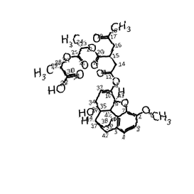 COc1ccc2c3c1O[C@@H]1C(OC(=O)C[C@H](CC(C)=O)C(=O)O[C@@H](C)C(=O)O[C@@H](C)C(=O)O)=CC[C@]4(O)[C@@H](CCC[C@@]314)C2